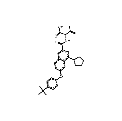 C=C(C)[C@H](NC(=O)c1cc2ccc(Oc3ccc(C(C)(C)C)cc3)cc2c(C2CCCC2)n1)C(=O)O